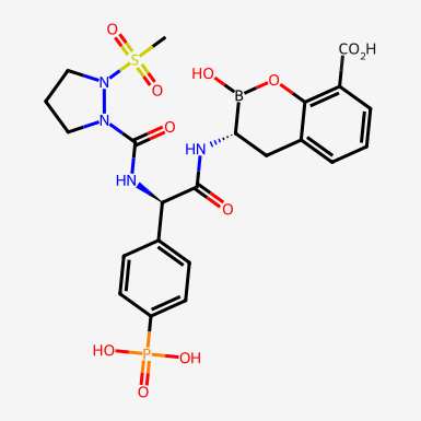 CS(=O)(=O)N1CCCN1C(=O)N[C@@H](C(=O)N[C@H]1Cc2cccc(C(=O)O)c2OB1O)c1ccc(P(=O)(O)O)cc1